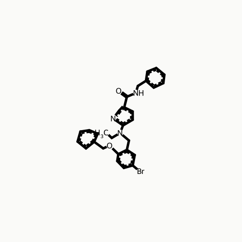 CCN(Cc1cc(Br)ccc1OCc1ccccc1)c1ccc(C(=O)NCc2ccccc2)cn1